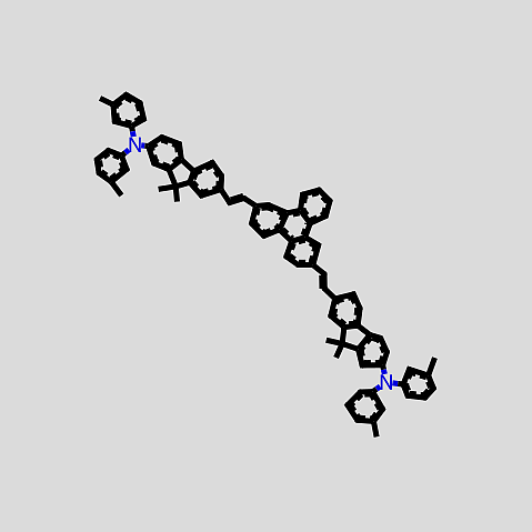 Cc1cccc(N(c2cccc(C)c2)c2ccc3c(c2)C(C)(C)c2cc(/C=C/c4ccc5c6ccc(/C=C/c7ccc8c(c7)C(C)(C)c7cc(N(c9cccc(C)c9)c9cccc(C)c9)ccc7-8)cc6c6ccccc6c5c4)ccc2-3)c1